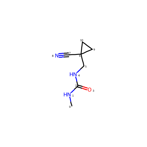 CNC(=O)NCC1(C#N)CC1